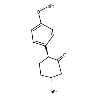 CCCOc1ccc([C@@H]2CC[C@@H](CCC)CC2=O)cc1